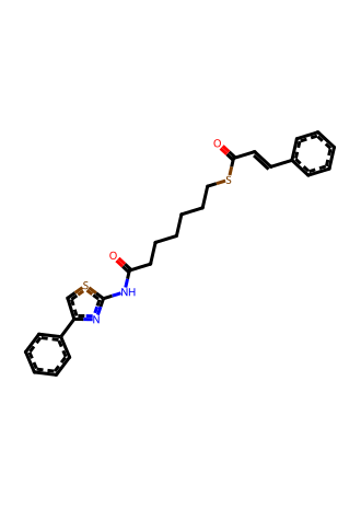 O=C(CCCCCCSC(=O)/C=C/c1ccccc1)Nc1nc(-c2ccccc2)cs1